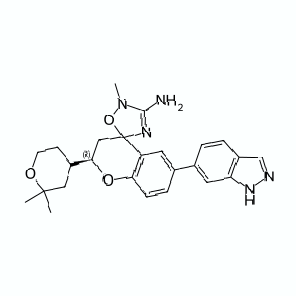 CN1OC2(C[C@H](C3CCOC(C)(C)C3)Oc3ccc(-c4ccc5cn[nH]c5c4)cc32)N=C1N